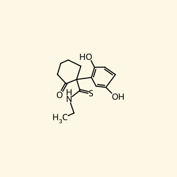 CCNC(=S)C1(c2cc(O)ccc2O)CCCCC1=O